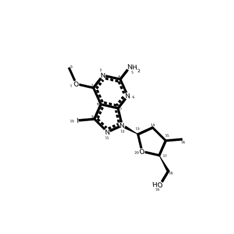 COc1nc(N)nc2c1c(I)nn2[C@H]1CC(C)[C@@H](CO)O1